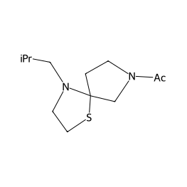 CC(=O)N1CCC2(C1)SCCN2CC(C)C